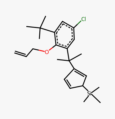 C=CCOc1c(C(C)(C)C)cc(Cl)cc1C(C)(C)C1=CC([Si](C)(C)C)C=C1